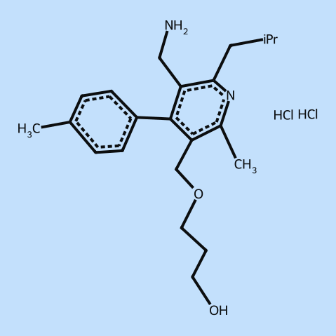 Cc1ccc(-c2c(COCCCO)c(C)nc(CC(C)C)c2CN)cc1.Cl.Cl